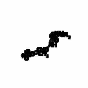 C=CCCC(C(=O)NC)N1C(=O)c2ccc(NCCCOc3ccc(C(C)(C)c4ccc(OCc5nc(C(=O)N6CCC6)no5)cc4)cc3)cc2C1=O